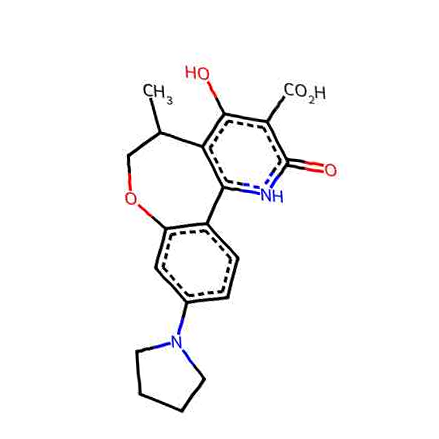 CC1COc2cc(N3CCCC3)ccc2-c2[nH]c(=O)c(C(=O)O)c(O)c21